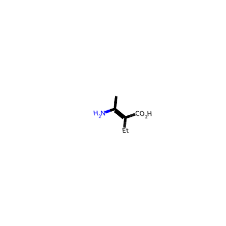 CC/C(C(=O)O)=C(/C)N